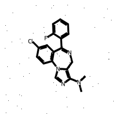 CN(C)c1ncn2c1CN=C(c1ccccc1F)c1cc(Cl)ccc1-2